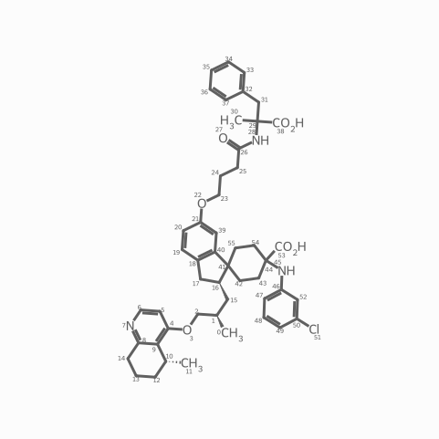 C[C@@H](COc1ccnc2c1[C@H](C)CCC2)C[C@H]1Cc2ccc(OCCCC(=O)NC(C)(Cc3ccccc3)C(=O)O)cc2C12CCC(Nc1cccc(Cl)c1)(C(=O)O)CC2